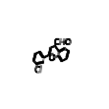 O=CC1C=C(c2cccc(Cl)c2)Oc2ccccc21